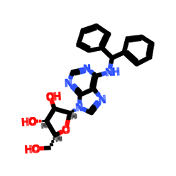 OC[C@H]1O[C@@H](n2cnc3c(NC(c4ccccc4)c4ccccc4)ncnc32)C(O)[C@H]1O